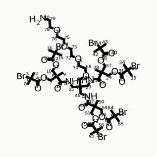 CC(C)(Br)C(=O)OCC(C)(COC(=O)C(C)(C)Br)C(=O)NCC(CNC(=O)C(C)(COC(=O)C(C)(C)Br)COC(=O)C(C)(C)Br)(CNC(=O)C(C)(COC(=O)C(C)(C)Br)COC(=O)C(C)(C)Br)COCCOCCOCCOCCN